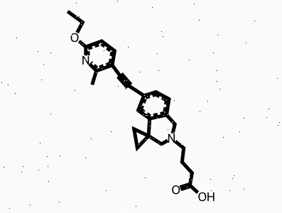 CCOc1ccc(C#Cc2ccc3c(c2)C2(CC2)CN(CCCC(=O)O)C3)c(C)n1